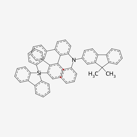 CC1(C)c2ccccc2-c2ccc(N(c3ccccc3)c3cccc(-c4ccccc4)c3-c3cccc4c3-c3ccccc3[Si]43c4ccccc4-c4ccccc43)cc21